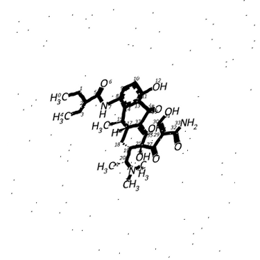 CCC(CC)C(=O)Nc1ccc(O)c2c1[C@H](C)[C@H]1C[C@@H]([C@@H](C)N(C)C)[C@@](O)(C(=O)/C(=C/O)C(N)=O)C(O)=C1C2=O